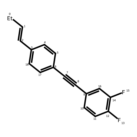 CC/C=C/c1ccc(C#Cc2ccc(F)c(F)c2)cc1